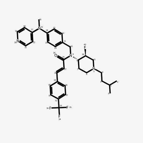 CC(C)CCN1CC[C@H](N(Cc2ccc(N(C)c3ccncc3)cc2)C(=O)/C=C/c2ccc(C(F)(F)F)cc2)[C@@H](F)C1